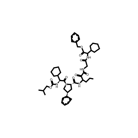 CCCC(NC(=O)[C@@H]1C[C@@H](c2ccccc2)CN1C(=O)[C@@H](NC(=O)OCC(C)C)C1CCCCC1)C(=O)C(=O)NCC(=O)NC(C(=O)OCc1ccccc1)C1CCCCC1